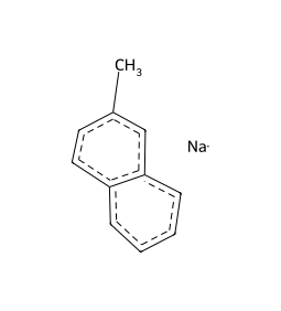 Cc1ccc2ccccc2c1.[Na]